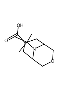 CC(C)(C)N1C2COCC1CC(C(=O)O)C2